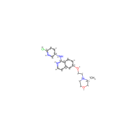 C[C@@H]1COCCN1CCOc1ccc2c(Nc3ccc(Cl)nc3)nccc2c1